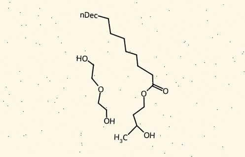 CCCCCCCCCCCCCCCCCC(=O)OCCC(C)O.OCCOCCO